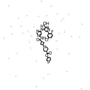 CN1CC[C@@H](OC(=O)C2CCN(C3CC(C(=O)Nc4cc(Nc5cc(-c6cc(Cl)ccc6F)nnc5CO)ncn4)C3)CC2)C1